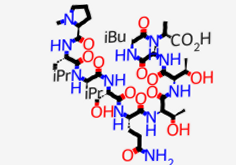 CC[C@H](C)[C@H](NC(=O)[C@H](C)NC(=O)[C@@H](NC(=O)[C@@H](NC(=O)[C@H](CCC(N)=O)NC(=O)[C@H](CO)NC(=O)[C@@H](NC(=O)[C@H](CC(C)C)NC(=O)[C@@H]1CCCN1C)C(C)C)[C@@H](C)O)[C@@H](C)O)C(=O)N[C@@H](C)C(=O)O